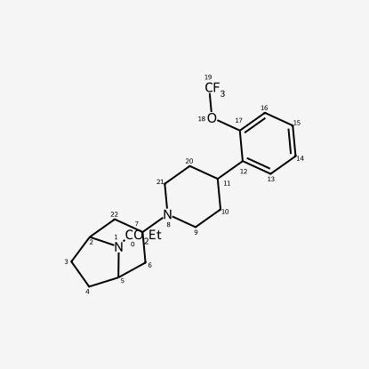 CCOC(=O)N1C2CCC1CC(N1CCC(c3ccccc3OC(F)(F)F)CC1)C2